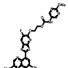 COc1cnc2c(-c3nc4cc(F)c(OCCOC(=O)Nc5cnc(OC)nc5)nc4s3)cc(C)cc2n1